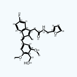 COc1cc(C=C2C(C)=C(CC(=O)NCc3ccco3)c3cc(F)ccc32)cc(OC)c1CO